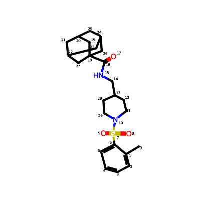 Cc1ccccc1S(=O)(=O)N1CCC(CNC(=O)C23CC4CC(CC(C4)C2)C3)CC1